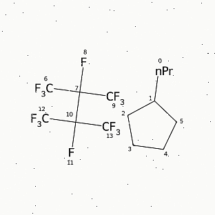 CCCC1CCCC1.FC(F)(F)C(F)(C(F)(F)F)C(F)(C(F)(F)F)C(F)(F)F